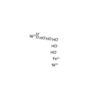 [Fe+2].[Ni+2].[Ni+2].[OH-].[OH-].[OH-].[OH-].[OH-].[OH-]